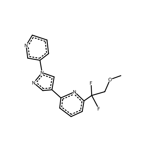 COCC(F)(F)c1cccc(-c2cnn(-c3cccnc3)c2)n1